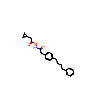 O=C(Cc1ccc(CCCCc2ccccc2)cc1)NOC(=O)CC1CC1